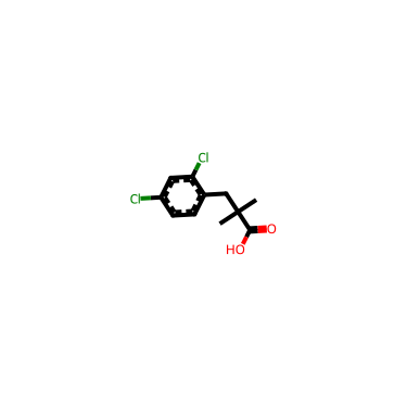 CC(C)(Cc1ccc(Cl)cc1Cl)C(=O)O